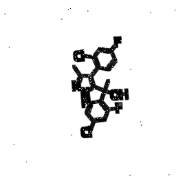 Cc1n[nH]c(C(C)(O)c2c(F)cc(Cl)cc2F)c1-c1ccc(F)cc1Cl